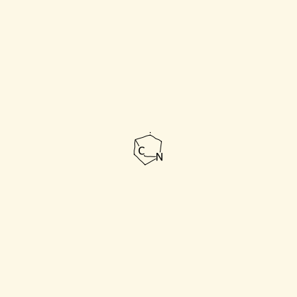 [CH]1CN2CCC1CC2